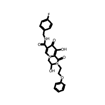 O=C(NCc1ccc(F)cc1)c1cn2c(c(O)c1=O)C(=O)N(CCOc1ccccc1)C(O)C2